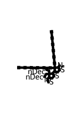 C#CC#CC#CC#CC#CC#CC1(C#CC#CC#CC#CC#CC#C)c2ncsc2-c2sc3c(c21)C(CCCCCCCCCCCC)(CCCCCCCCCCCC)c1ncsc1-3